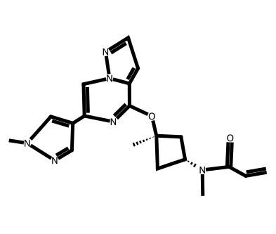 C=CC(=O)N(C)[C@H]1C[C@](C)(Oc2nc(-c3cnn(C)c3)cn3nccc23)C1